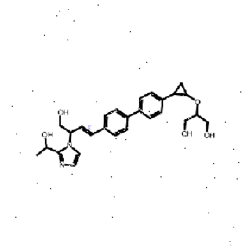 CC(O)c1nccn1C(/C=C/c1ccc(-c2ccc(C3CC3OC(CO)CO)cc2)cc1)CO